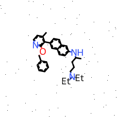 CCN(CC)CCCC(C)Nc1ccc2cc(-c3c(C)ccnc3OCc3ccccc3)ccc2c1